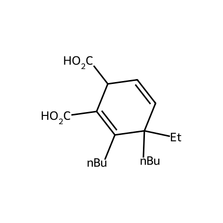 CCCCC1=C(C(=O)O)C(C(=O)O)C=CC1(CC)CCCC